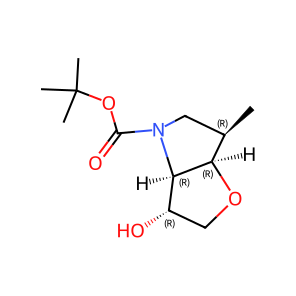 C[C@@H]1CN(C(=O)OC(C)(C)C)[C@H]2[C@@H]1OC[C@@H]2O